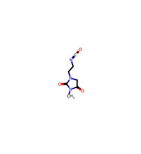 CN1C(=O)CN(CCN=C=O)C1=O